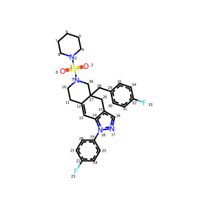 O=S(=O)(N1CCCCC1)N1CCC2=Cc3c(cnn3-c3ccc(F)cc3)CC2(Cc2ccc(F)cc2)C1